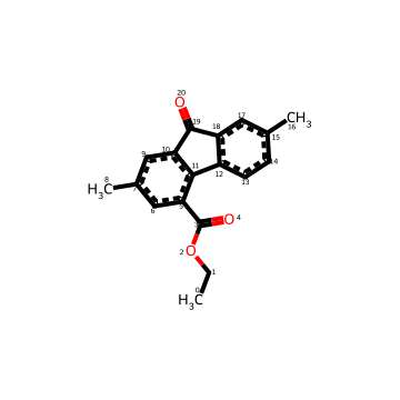 CCOC(=O)c1cc(C)cc2c1-c1ccc(C)cc1C2=O